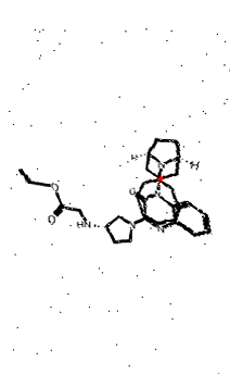 CCOC(=O)CN[C@H]1CCN(c2nc3ccccc3n([C@H]3C[C@H]4CC[C@@H](C3)N4C3CCCCCCC3)c2=O)C1